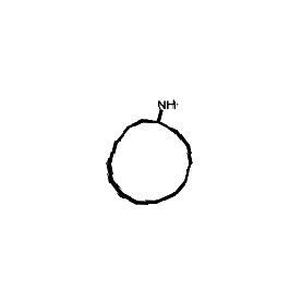 [NH]C1CCCCCCCCCCCCC1